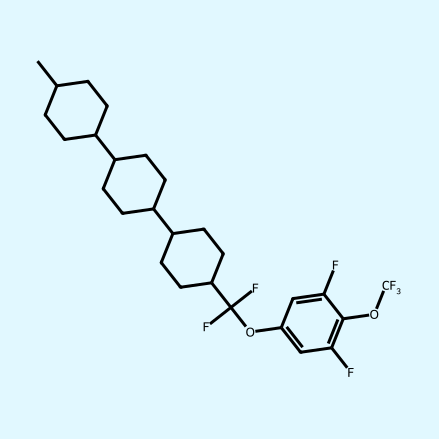 CC1CCC(C2CCC(C3CCC(C(F)(F)Oc4cc(F)c(OC(F)(F)F)c(F)c4)CC3)CC2)CC1